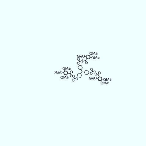 COc1cc(OC)c(C(=O)OOC(=O)OC2CCC(C(C3CCC(OC(=O)OOC(=O)c4cc(OC)c(OC)cc4OC)CC3)C3CCC(OC(=O)OOC(=O)c4cc(OC)c(OC)cc4OC)CC3)CC2)cc1OC